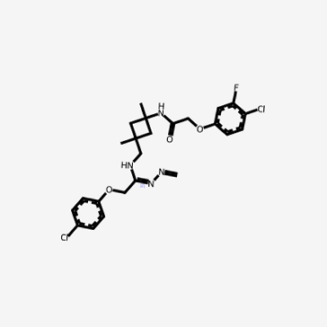 C=N/N=C(/COc1ccc(Cl)cc1)NCC1(C)CC(C)(NC(=O)COc2ccc(Cl)c(F)c2)C1